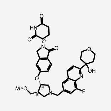 COC[C@@H]1CN(Cc2cc(F)c3nc(C4(O)CCOCC4)ccc3c2)C[C@H]1Oc1ccc2c(c1)CN([C@H]1CCC(=O)NC1=O)C2=O